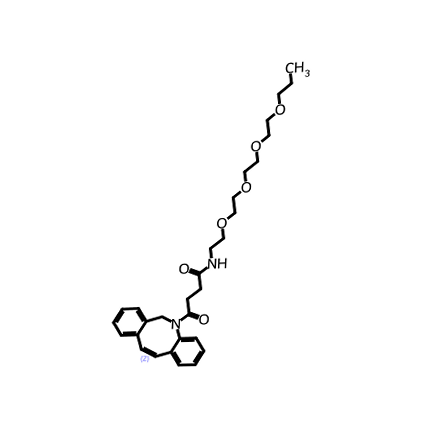 CCCOCCOCCOCCOCCNC(=O)CCC(=O)N1Cc2ccccc2/C=C\c2ccccc21